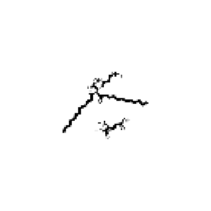 CCCCCCCCCCCC(=O)N(C(=O)CCCCCCCCCCC)[C@@H](CCCCN)C(=O)O.N[C@@H](CCC(=O)O)C(=O)O